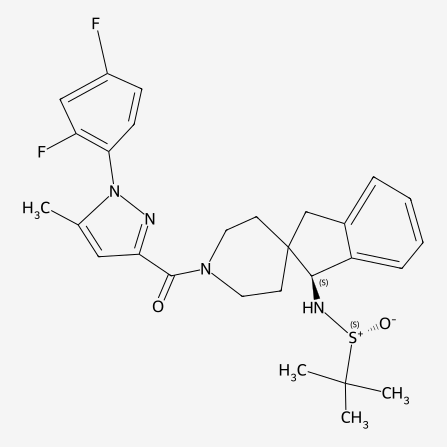 Cc1cc(C(=O)N2CCC3(CC2)Cc2ccccc2[C@H]3N[S@+]([O-])C(C)(C)C)nn1-c1ccc(F)cc1F